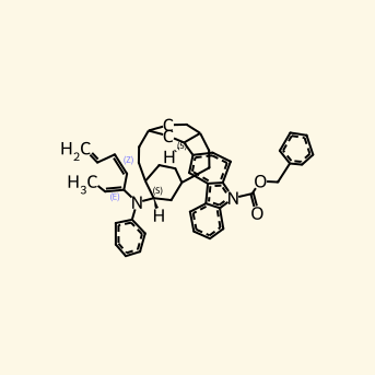 C=C/C=C\C(=C/C)N(c1ccccc1)[C@H]1CC2CCC3CCC(CCC1CC2)C[C@@H]3c1ccc2c(c1)c1ccccc1n2C(=O)OCc1ccccc1